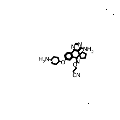 N#CCCO/N=C1\c2cc(O[C@H]3CC[C@@H](N)CC3)ccc2-c2ncnc(N)c2C12CCCC2